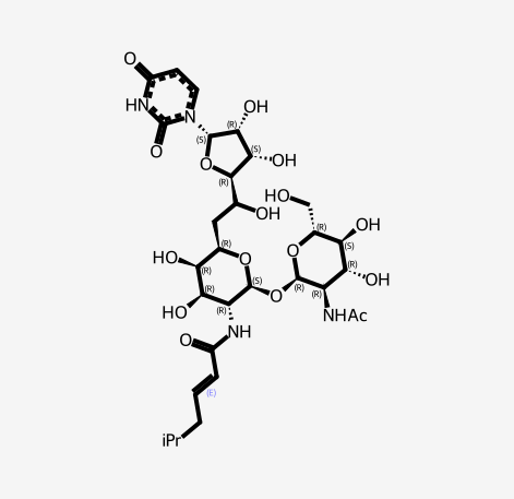 CC(=O)N[C@H]1[C@@H](O[C@@H]2O[C@H](CC(O)[C@H]3O[C@H](n4ccc(=O)[nH]c4=O)[C@H](O)[C@@H]3O)[C@H](O)[C@H](O)[C@H]2NC(=O)/C=C/CC(C)C)O[C@H](CO)[C@@H](O)[C@@H]1O